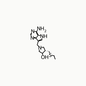 CCSC[C@H]1CN(Cc2c[nH]c3c(N)ncnc23)CC1O